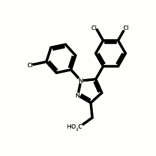 O=C(O)Cc1cc(-c2ccc(Cl)c(Cl)c2)n(-c2cccc(Cl)c2)n1